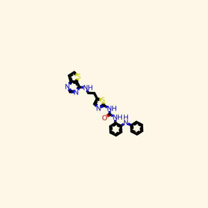 O=C(Nc1ncc(CCNc2ncnc3ccsc23)s1)Nc1ccccc1Nc1ccccc1